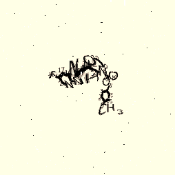 Cc1ccc(COC(=O)N2CCOC(c3nc4cc(F)cnc4[nH]3)C2)cc1